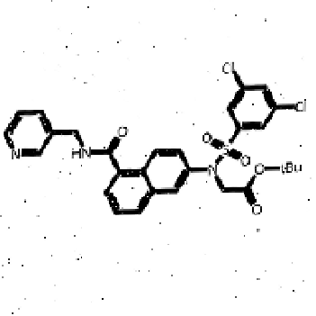 CC(C)(C)OC(=O)CN(c1ccc2c(C(=O)NCc3cccnc3)cccc2c1)S(=O)(=O)c1cc(Cl)cc(Cl)c1